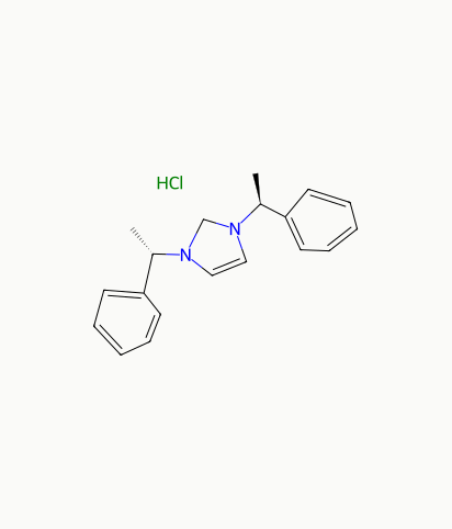 C[C@@H](c1ccccc1)N1C=CN([C@@H](C)c2ccccc2)C1.Cl